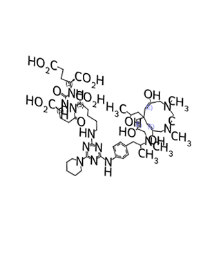 CC(O)CC1(/C=C(/O)CN(C)C(C)Cc2ccc(Nc3nc(NCCCC[C@H](NC(=O)CC[C@H](NC(=O)N[C@@H](CCC(=O)O)C(=O)O)C(=O)O)C(=O)O)nc(N4CCCCC4)n3)cc2)/C=C(/O)CN(C)CCN(C)C/C(O)=C\1